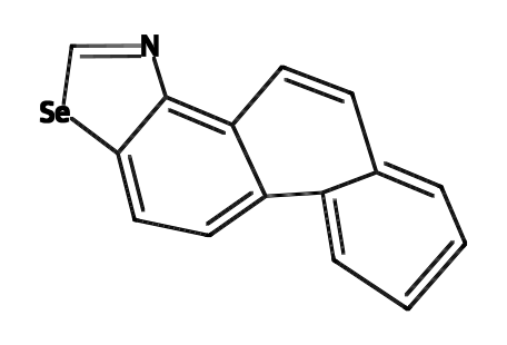 c1ccc2c(c1)ccc1c2ccc2[se]cnc21